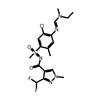 CCN(C)/C=N/c1cc(C)c(S(C)(=O)=NC(=O)c2cn(C)nc2C(F)F)cc1Cl